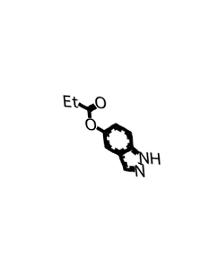 CCC(=O)Oc1ccc2[nH]ncc2c1